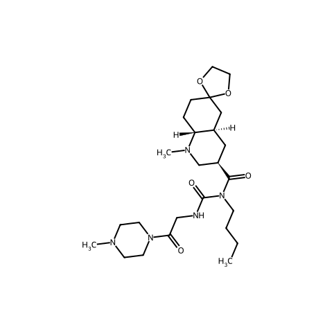 CCCCN(C(=O)NCC(=O)N1CCN(C)CC1)C(=O)[C@@H]1C[C@@H]2CC3(CC[C@H]2N(C)C1)OCCO3